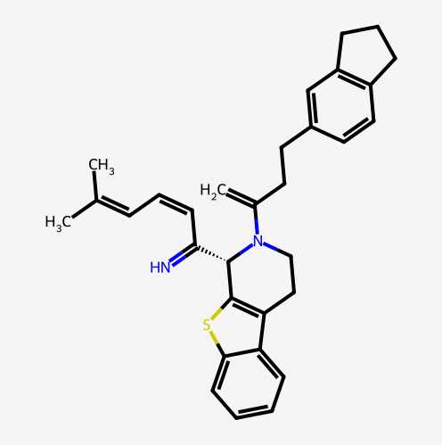 C=C(CCc1ccc2c(c1)CCC2)N1CCc2c(sc3ccccc23)[C@@H]1C(=N)/C=C\C=C(C)C